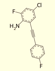 Nc1c(F)cc(Cl)cc1C#Cc1ccc(F)cc1